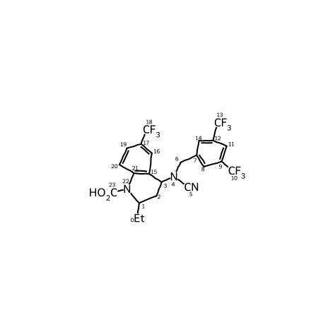 CCC1CC(N(C#N)Cc2cc(C(F)(F)F)cc(C(F)(F)F)c2)c2cc(C(F)(F)F)ccc2N1C(=O)O